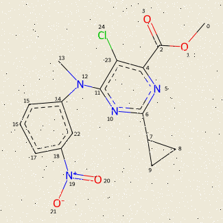 COC(=O)c1nc(C2CC2)nc(N(C)c2cccc([N+](=O)[O-])c2)c1Cl